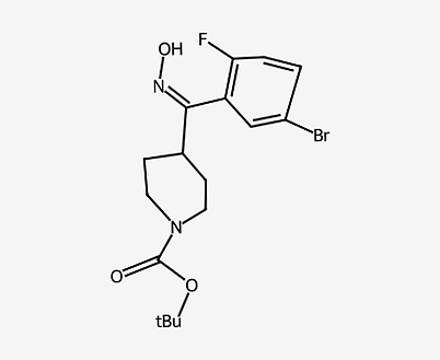 CC(C)(C)OC(=O)N1CCC(C(=NO)c2cc(Br)ccc2F)CC1